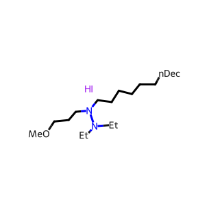 CCCCCCCCCCCCCCCCN(CCCOC)N(CC)CC.I